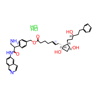 Cl.Cl.NCC(C(=O)Nc1ccc2cnccc2c1)c1ccc(COC(=O)CCC/C=C/C[C@@H]2[C@@H](CC[C@@H](O)CCc3ccccc3)[C@H](O)C[C@@H]2O)cc1